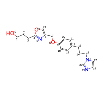 OCCCc1nc(COc2ccc(CCCn3ccnc3)cc2)co1